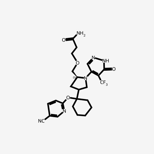 N#Cc1ccc(OC2(C3C[C@@H](COCCC(N)=O)N(c4cn[nH]c(=O)c4C(F)(F)F)C3)CCCCC2)nc1